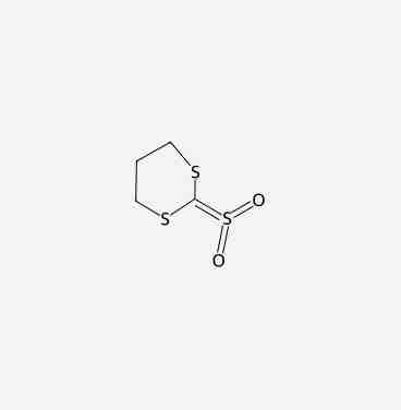 O=S(=O)=C1SCCCS1